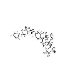 Cc1ccc(-c2cc(F)c(C(F)(F)Oc3ccc(C4=CC(F)=C(C(F)(F)Oc5cc(F)c(C)c(F)c5)C(F)C4C)c(F)c3)c(F)c2)cc1